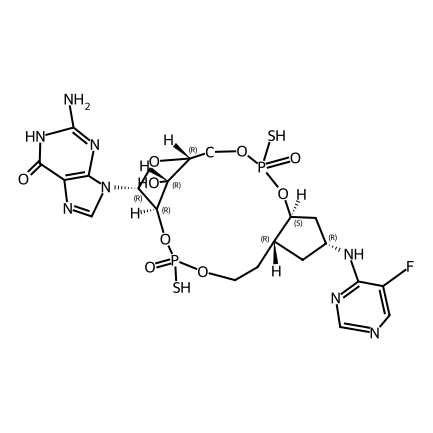 Nc1nc2c(ncn2[C@@H]2O[C@@H]3COP(=O)(S)O[C@H]4C[C@H](Nc5ncncc5F)C[C@@H]4CCOP(=O)(S)O[C@@H]2[C@@H]3O)c(=O)[nH]1